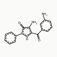 Nc1cccc(C(=O)c2[nH]n(-c3ccccc3)c(=O)c2N)c1